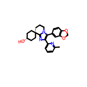 Cc1cccc(-c2nc3n(c2-c2ccc4c(c2)OCO4)CCC[C@]32CC[C@@H](O)CC2)n1